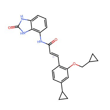 O=C(/C=C/c1ccc(C2CC2)cc1OCC1CC1)Nc1cccc2[nH]c(=O)[nH]c12